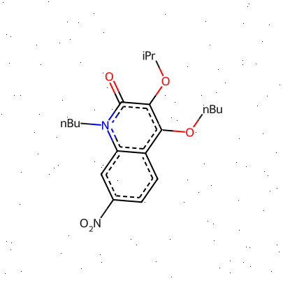 CCCCOc1c(OC(C)C)c(=O)n(CCCC)c2cc([N+](=O)[O-])ccc12